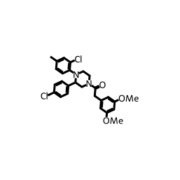 COc1cc(CC(=O)N2CCN(c3ccc(C)cc3Cl)C(c3ccc(Cl)cc3)C2)cc(OC)c1